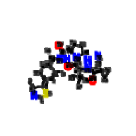 Cc1cc(C2SC=NC2C)ccc1[C@H](C)NC(=O)[C@@H]1CCCN1C(=O)[C@@H](NC(=O)C1(C#N)CC1)C(C)(C)C